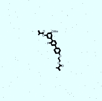 C=C(C)C(=O)OCCOc1ccc(-c2ccc(-c3cc(OC)cc(OC(=O)C(=C)C)c3)c(F)c2)cc1